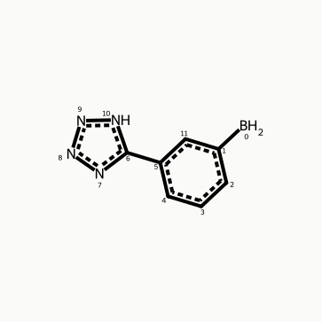 Bc1cccc(-c2nnn[nH]2)c1